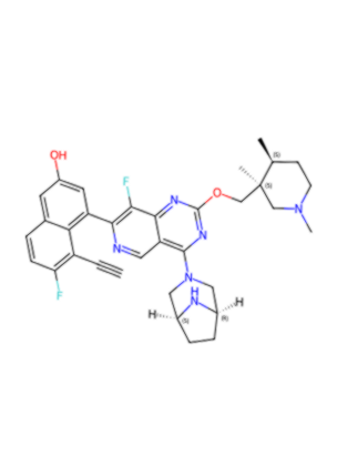 C#Cc1c(F)ccc2cc(O)cc(-c3ncc4c(N5C[C@H]6CC[C@@H](C5)N6)nc(OC[C@]5(C)CN(C)CC[C@@H]5C)nc4c3F)c12